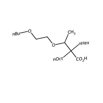 CCCCCCCCC(CCCCCC)(C(=O)O)C(C)OCCOCCCC